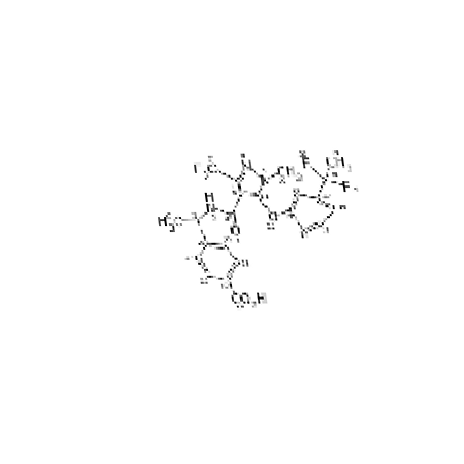 CC(NC(=O)c1c(C(F)(F)F)nn(C)c1Oc1cccc(C(C)(F)F)c1)c1ccc(C(=O)O)cc1